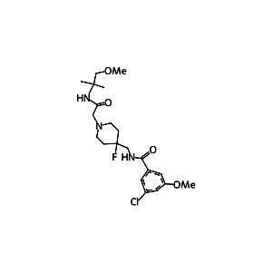 COCC(C)(C)NC(=O)CN1CCC(F)(CNC(=O)c2cc(Cl)cc(OC)c2)CC1